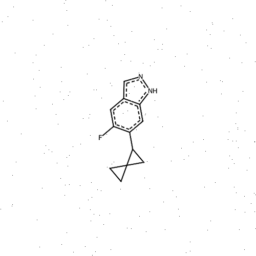 Fc1cc2cn[nH]c2cc1C1CC12CC2